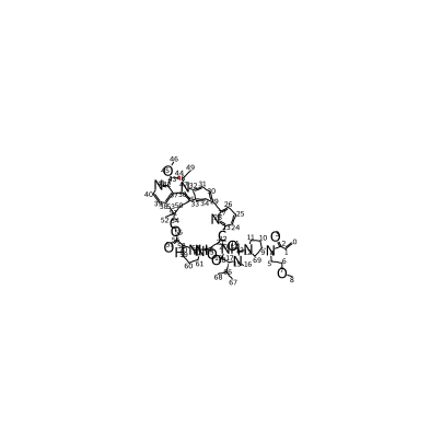 C=CC(=O)N(CCOC)[C@H]1CCN(C(=O)N(C)[C@H](C(=O)N[C@H]2Cc3cccc(n3)-c3ccc4c(c3)c(c(-c3cccnc3[C@H](C)OC)n4CC)CC(C)(C)COC(=O)[C@@H]3CCCN(N3)C2=O)C(C)C)C1